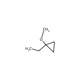 CCC1(OC)CC1